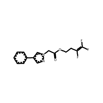 O=C(Cn1cc(-c2ccccc2)cn1)OCCC(F)=C(F)F